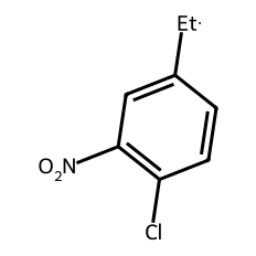 C[CH]c1ccc(Cl)c([N+](=O)[O-])c1